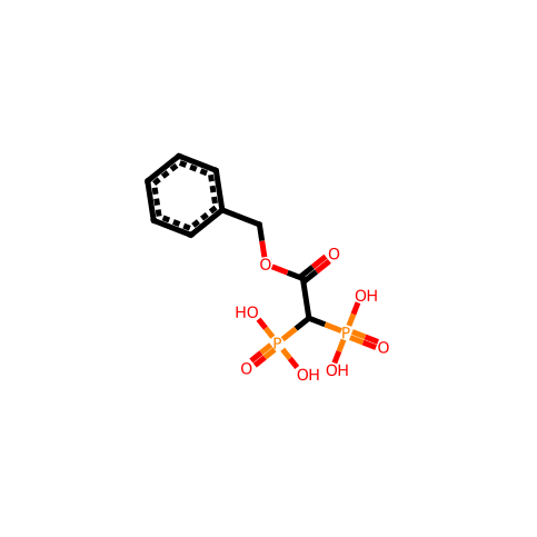 O=C(OCc1ccccc1)C(P(=O)(O)O)P(=O)(O)O